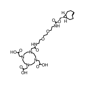 O=C(O)CN1CCN(CC(=O)O)CCN(CC(=O)NCCOCCOCCNC(=O)OC[C@@H]2[C@@H]3CC/C=C/CC[C@@H]32)CCN(CC(=O)O)CC1